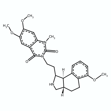 COc1cc2c(=O)n(CCC3NC[C@H]4CCc5c(OC)cccc5[C@H]34)c(=O)n(C)c2cc1OC